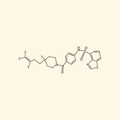 O=C(c1ccc(NS(=O)(=O)c2cccc3scnc23)cc1)N1CCC(I)(CCC(F)=C(F)F)CC1